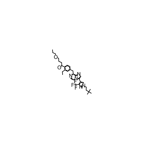 CCCOCCCC(=O)c1ccc(Cc2nccn3c(-c4cn(CCC(C)(C)C)nc4C(F)(F)F)cnc23)cc1CC